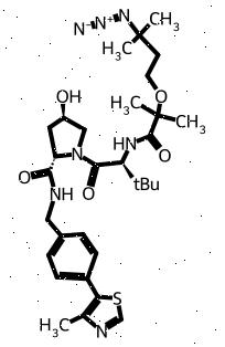 Cc1ncsc1-c1ccc(CNC(=O)[C@@H]2C[C@@H](O)CN2C(=O)[C@@H](NC(=O)C(C)(C)OCCC(C)(C)N=[N+]=[N-])C(C)(C)C)cc1